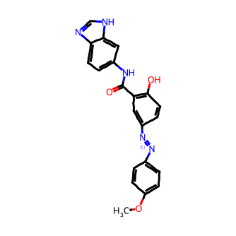 COc1ccc(/N=N/c2ccc(O)c(C(=O)Nc3ccc4nc[nH]c4c3)c2)cc1